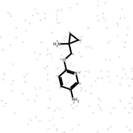 Nc1ccc(OCC2(N)CC2)nc1